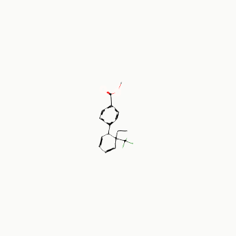 CCC1(C(F)(F)F)C=CC=CC1c1ccc(C(=O)OC)cc1